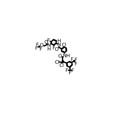 O=C(COC(F)(F)F)Nc1c(F)ccc(NC(=O)c2cc(NC(=O)C3C(c4cc(C(F)(F)F)cc(C(F)(F)F)c4)C3(Cl)Cl)ccc2Cl)c1F